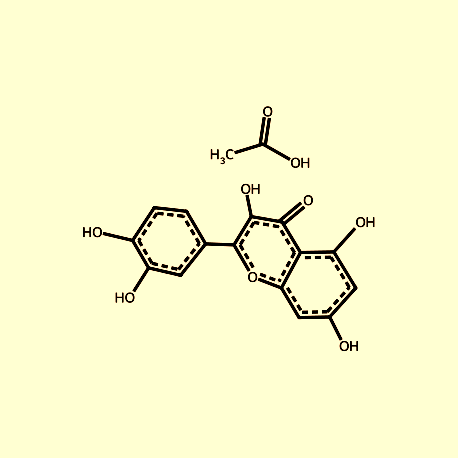 CC(=O)O.O=c1c(O)c(-c2ccc(O)c(O)c2)oc2cc(O)cc(O)c12